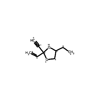 C#CC1(C=C)OCC(CC)O1